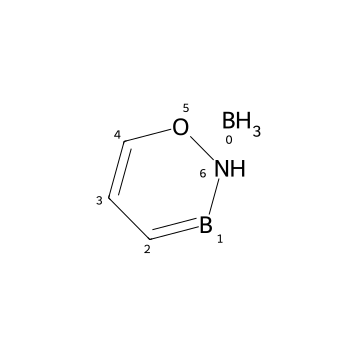 B.B1=CC=CON1